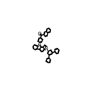 O=C(c1ccc(-n2c3ccccc3c3ccc4c(ccn4-c4cc(-c5ccccc5)cc(-c5ccccc5)c4)c32)cc1)c1ccc2ccccc2c1